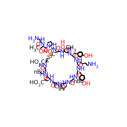 CCCC[C@@H]1NC(=O)[C@H](CCC(=O)O)NC(=O)[C@H](C)NC(=O)[C@H](CC(C)C)NC(=O)[C@H](CCCC)NC(=O)[C@H](Cc2ccc(O)cc2)NC(=O)[C@H](CCCCN)NC(=O)[C@H](Cc2ccc(O)cc2)NC(=O)[C@H]([C@@H](C)O)NC(=O)[C@@H](NC(=O)[C@@H]2CCCN2C(=O)[C@@H](NC(=O)CN)[C@@H](C)O)CSSC[C@@H](C(=O)O)NC1=O